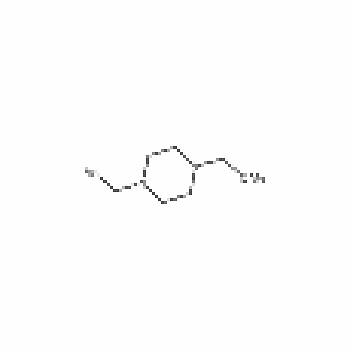 COCC1CCN(CC(C)=O)CC1